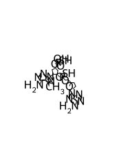 Cc1nn(C2CC(OP(=O)(O)S)C[C@H]2OP(S)OCC2CCC(n3cnc4c(N)ncnc43)O2)c2ncnc(N)c12